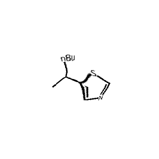 [CH2]CCCC(C)c1cncs1